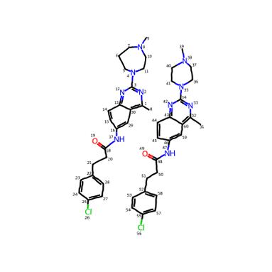 Cc1nc(N2CCCN(C)CC2)nc2ccc(NC(=O)CCc3ccc(Cl)cc3)cc12.Cc1nc(N2CCN(C)CC2)nc2ccc(NC(=O)CCc3ccc(Cl)cc3)cc12